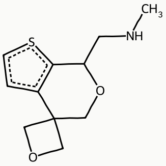 CNCC1OCC2(COC2)c2ccsc21